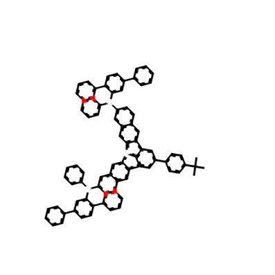 CC(C)(C)c1ccc(-c2cc3c4cc5ccc(N(c6ccccc6)c6cc(-c7ccccc7)ccc6-c6ccccc6)cc5cc4n4c5cc6cc(N(c7ccccc7)c7cc(-c8ccccc8)ccc7-c7ccccc7)ccc6cc5c(c2)c34)cc1